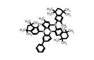 Cc1cc2c3c(c1)N(c1ccc4c(c1C)C(C)(C)CC4(C)C)c1cc(-c4ccccc4)ccc1B3c1cc3c(cc1N2c1cc2c(cc1C)C(C)(C)CCC2(C)C)C(C)(C)CCC3(C)C